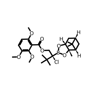 COc1ccc(OC)c(C(=O)OC[C@](Cl)(B2O[C@@H]3C[C@@H]4C[C@@H](C4(C)C)[C@]3(C)O2)C(C)(C)C)c1OC